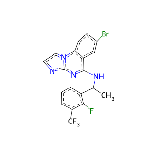 CC(Nc1nc2nccn2c2ccc(Br)cc12)c1cccc(C(F)(F)F)c1F